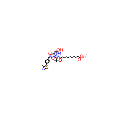 Cc1ncsc1-c1ccc(CNC(=O)[C@@H]2C[C@H](O)CN2C(=O)C(NC(=O)CCCCCCCCCC(=O)O)C(C)(C)C)cc1